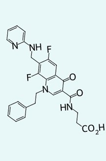 O=C(O)CCNC(=O)c1cn(CCc2ccccc2)c2c(F)c(CNc3ccccn3)c(F)cc2c1=O